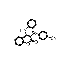 N#Cc1ccc([Se]c2c(Nc3ccccc3)c3ccccc3oc2=O)cc1